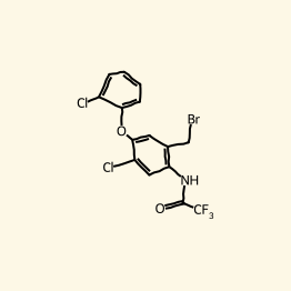 O=C(Nc1cc(Cl)c(Oc2ccccc2Cl)cc1CBr)C(F)(F)F